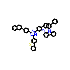 c1ccc(-c2cccc(-n3c4ccccc4c4cccc(-n5c6ccccc6c6ccc(-c7nc(-c8ccc(-c9ccc%10ccccc%10c9)cc8)nc(-c8ccc9c(c8)sc8ccccc89)n7)cc65)c43)c2)cc1